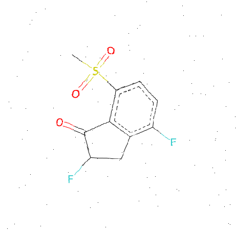 CS(=O)(=O)c1ccc(F)c2c1C(=O)C(F)C2